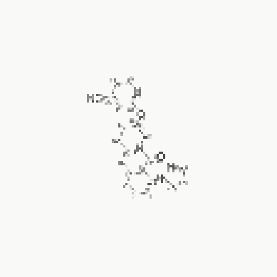 Cc1cccc(-n2nccn2)c1C(=O)N1CCC[C@@H](Oc2cc(C#N)ccn2)C1